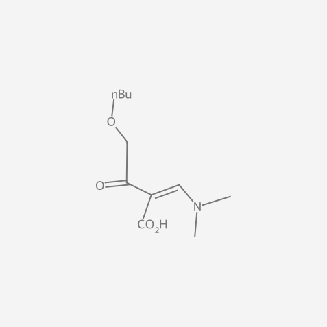 CCCCOCC(=O)/C(=C/N(C)C)C(=O)O